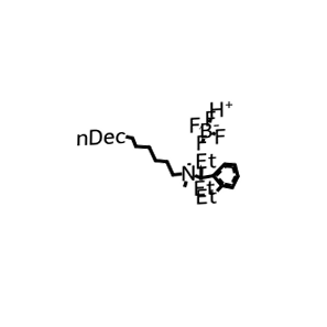 CCCCCCCCCCCCCCCC[N+](C)(C)C(CC)(CC)c1ccccc1CC.F[B-](F)(F)F.[H+]